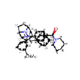 COc1cccc(C(c2ccc(C(=O)N3CCCCC3)cc2)N2C3CCC2C2CCC3N2Cc2ccccc2)c1